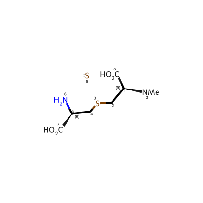 CN[C@@H](CSC[C@H](N)C(=O)O)C(=O)O.[S]